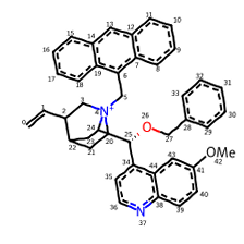 C=CC1C[N+]2(Cc3c4ccccc4cc4ccccc34)CCC1CC2[C@H](OCc1ccccc1)c1ccnc2ccc(OC)cc12